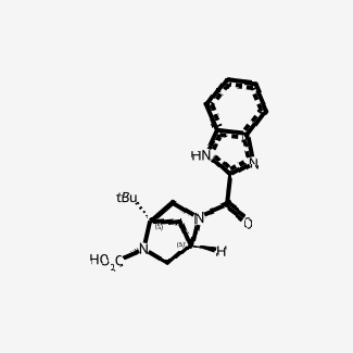 CC(C)(C)[C@]12C[C@@H](CN1C(=O)O)N(C(=O)c1nc3ccccc3[nH]1)C2